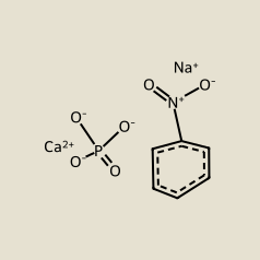 O=P([O-])([O-])[O-].O=[N+]([O-])c1ccccc1.[Ca+2].[Na+]